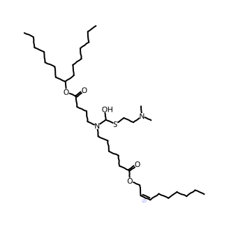 CCCCCC/C=C\COC(=O)CCCCCN(CCCC(=O)OC(CCCCCCC)CCCCCCC)C(O)SCCN(C)C